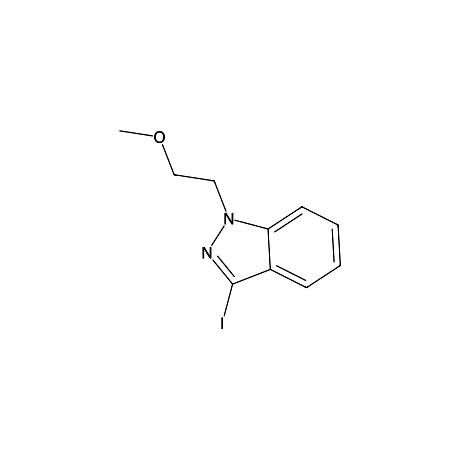 COCCn1nc(I)c2ccccc21